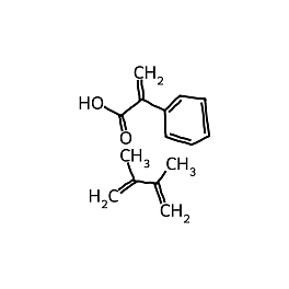 C=C(C(=O)O)c1ccccc1.C=C(C)C(=C)C